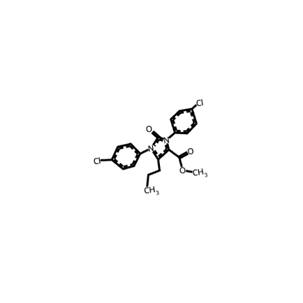 CCCc1c(C(=O)OC)n(-c2ccc(Cl)cc2)c(=O)n1-c1ccc(Cl)cc1